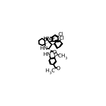 COc1cc(C(C)=O)ccc1NC(=O)[C@@H]1NC2(CCCCC2)[C@@]2(C(=O)Nc3cc(Cl)ccc32)[C@H]1c1cccc(Cl)c1F